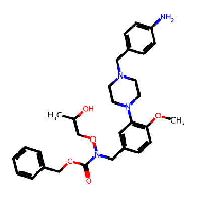 COc1ccc(CN(OCC(C)O)C(=O)OCc2ccccc2)cc1N1CCN(Cc2ccc(N)cc2)CC1